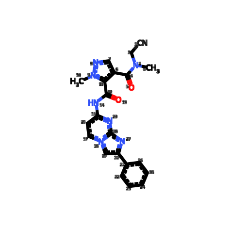 CN(CC#N)C(=O)c1cnn(C)c1C(=O)Nc1ccn2cc(-c3ccccc3)nc2n1